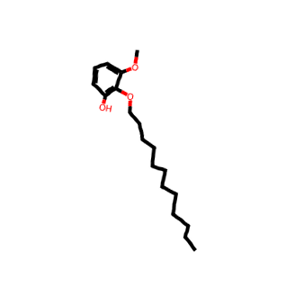 CCCCCCCCCCCCOc1c(O)cccc1OC